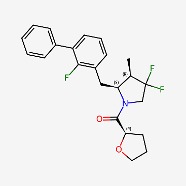 C[C@@H]1[C@H](Cc2cccc(-c3ccccc3)c2F)N(C(=O)[C@H]2CCCO2)CC1(F)F